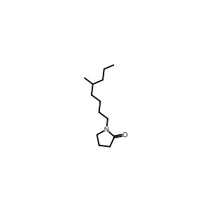 CCCC(C)CCCCN1CCCC1=O